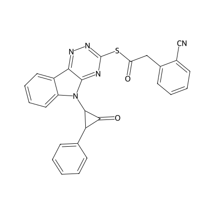 N#Cc1ccccc1CC(=O)Sc1nnc2c3ccccc3n(C3C(=O)C3c3ccccc3)c2n1